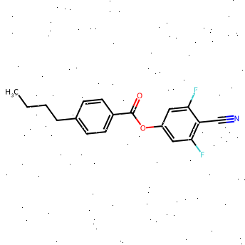 CCCCc1ccc(C(=O)Oc2cc(F)c(C#N)c(F)c2)cc1